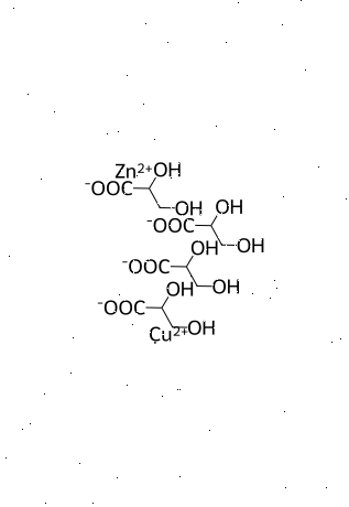 O=C([O-])C(O)CO.O=C([O-])C(O)CO.O=C([O-])C(O)CO.O=C([O-])C(O)CO.[Cu+2].[Zn+2]